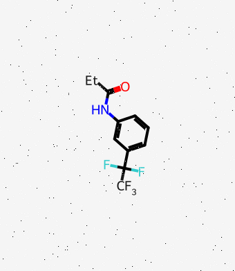 [CH2]CC(=O)Nc1cccc(C(F)(F)C(F)(F)F)c1